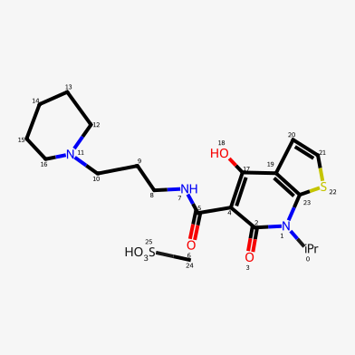 CC(C)n1c(=O)c(C(=O)NCCCN2CCCCC2)c(O)c2ccsc21.CS(=O)(=O)O